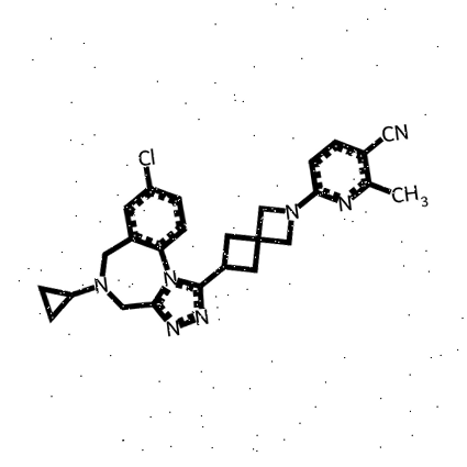 Cc1nc(N2CC3(CC(c4nnc5n4-c4ccc(Cl)cc4CN(C4CC4)C5)C3)C2)ccc1C#N